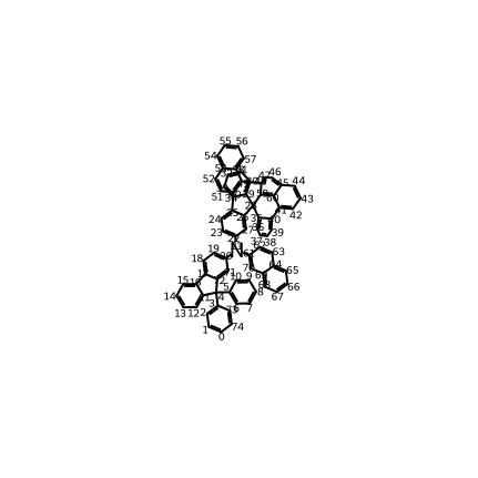 c1ccc(C2(c3ccccc3)c3ccccc3-c3ccc(N(c4ccc5c(c4)C4(c6ccccc6-5)c5ccccc5-c5cccc6ccc(-c7cccc8ccccc78)c4c56)c4ccc5ccccc5c4)cc32)cc1